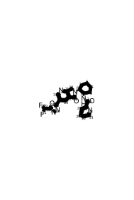 O=C(N[C@@H]1CCCC[C@H]1N1Cc2ncc(-c3nnc(C(F)F)o3)cc2C1=O)c1ccccn1